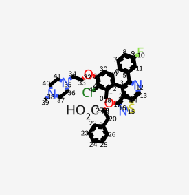 Cc1c(-c2c(-c3cccc(F)c3)ncc3snc(O[C@H](Cc4ccccc4)C(=O)O)c23)ccc(OCCN2CCN(C)CC2)c1Cl